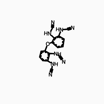 N#CNc1cccc(Oc2cccc(NC#N)c2NC#N)c1NC#N